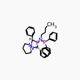 CCCCN(P(c1ccccc1)c1ccccc1)P1[C@H](c2ccccc2)N2CCCCN2[C@H]1c1ccccc1